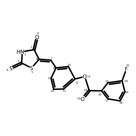 O=C1NC(=S)S/C1=C\c1cccc(OC(=O)c2cccc(F)c2)c1